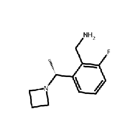 C[C@H](c1cccc(F)c1CN)N1CCC1